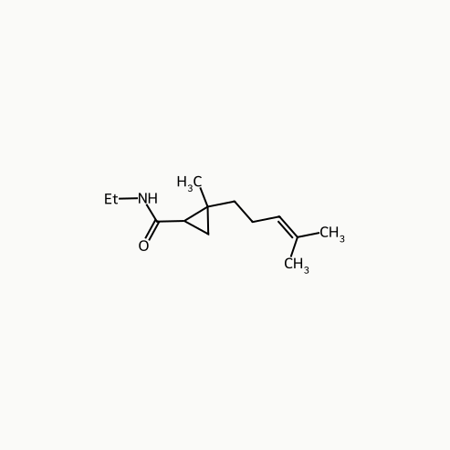 CCNC(=O)C1CC1(C)CCC=C(C)C